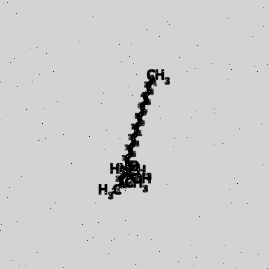 CCCCCCCCCCCCCCCCCC(=O)NC(CCC)C(C)(C)O